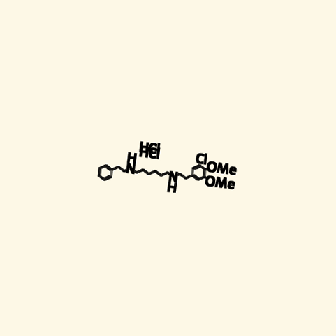 COc1cc(CCNCCCCCCNCCc2ccccc2)cc(Cl)c1OC.Cl.Cl